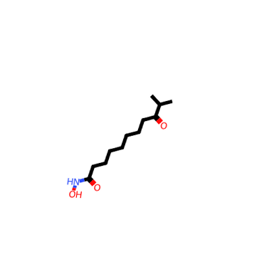 CC(C)C(=O)CCCCCCCC(=O)NO